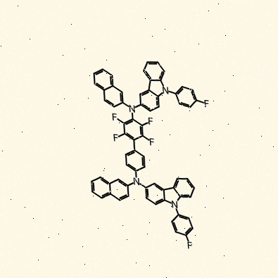 Fc1ccc(-n2c3ccccc3c3cc(N(c4ccc(-c5c(F)c(F)c(N(c6ccc7ccccc7c6)c6ccc7c(c6)c6ccccc6n7-c6ccc(F)cc6)c(F)c5F)cc4)c4ccc5ccccc5c4)ccc32)cc1